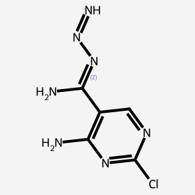 N=N/N=C(\N)c1cnc(Cl)nc1N